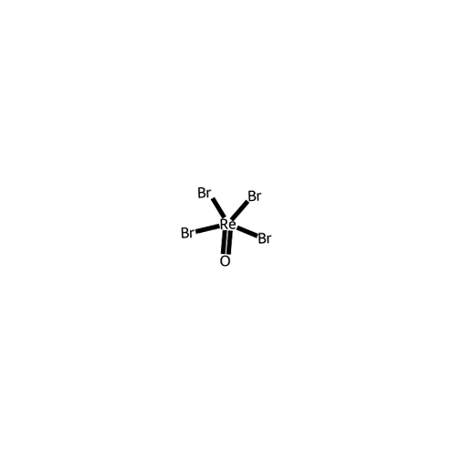 [O]=[Re]([Br])([Br])([Br])[Br]